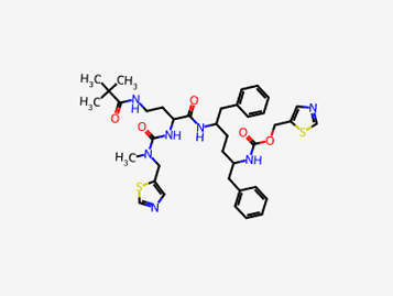 CN(Cc1cncs1)C(=O)NC(CCNC(=O)C(C)(C)C)C(=O)NC(CCC(Cc1ccccc1)NC(=O)OCc1cncs1)Cc1ccccc1